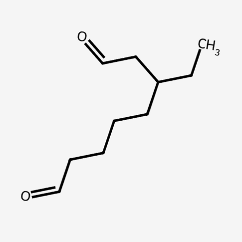 CCC(CC=O)CCCCC=O